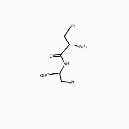 CC(C)C[C@@H](C=O)NC(=O)[C@@H](N)CC(C)C